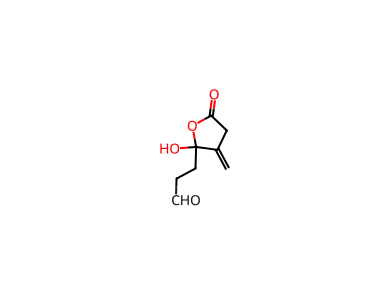 C=C1CC(=O)OC1(O)CCC=O